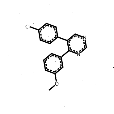 COc1cccc(-c2n[c]ncc2-c2ccc(Cl)cc2)c1